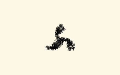 Cc1ccc(-c2ccc(Oc3nc(Oc4ccc(-c5ccccc5)cc4)nc(Oc4ccc(-c5ccc(OC6N=C(Cc7ccc(-c8ccc(Oc9nc(Oc%10ccc(-c%11ccccc%11)cc%10)nc(Oc%10ccc(-c%11ccccc%11)cc%10)n9)cc8)cc7)N=C(Oc7ccc(-c8ccc(Oc9nc(Oc%10ccc(-c%11ccccc%11)cc%10)nc(Oc%10ccc(-c%11ccccc%11)cc%10)n9)cc8)cc7)N6)cc5)cc4)n3)cc2)cc1